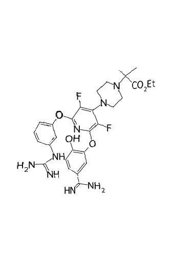 CCOC(=O)C(C)(C)N1CCN(c2c(F)c(Oc3cccc(NC(=N)N)c3)nc(Oc3cc(C(=N)N)ccc3O)c2F)CC1